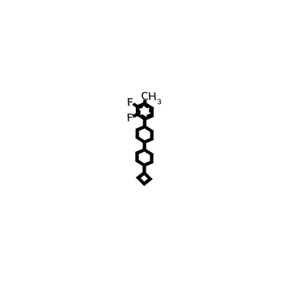 Cc1ccc(C2CCC(C3CCC(C4CCC4)CC3)CC2)c(F)c1F